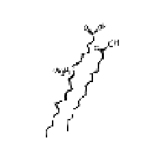 CCCCCCCCCCCCCC(=O)O.CCCCCCCCCCCCCCCCCC(=O)O.[MgH2]